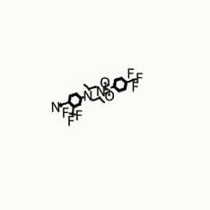 CC1CN(S(=O)(=O)c2ccc(C(F)(F)F)cc2)C(C)CN1c1ccc(C#N)c(C(F)(F)F)c1